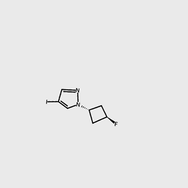 F[C@H]1C[C@H](n2cc(I)cn2)C1